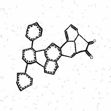 O=C1C(=O)C2C=CC=C3c4cc5c6c(cccc6c4C=C1C32)-c1c(-c2ccccc2)ccc(-c2ccccc2)c1-5